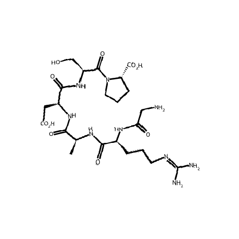 C[C@H](NC(=O)[C@H](CCCN=C(N)N)NC(=O)CN)C(=O)N[C@@H](CC(=O)O)C(=O)N[C@@H](CO)C(=O)N1CCC[C@H]1C(=O)O